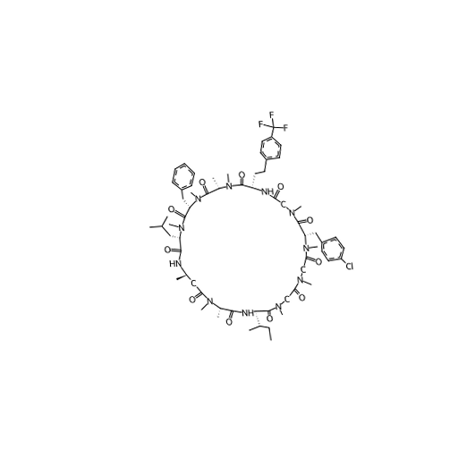 CCC(C)[C@@H]1NC(=O)[C@H](C)N(C)C(=O)C[C@@H](C)NC(=O)[C@H](CC(C)C)N(C)C(=O)[C@H](Cc2ccccc2)N(C)C(=O)[C@H](C)N(C)C(=O)[C@H](CCc2ccc(C(F)(F)F)cc2)NC(=O)CN(C)C(=O)[C@H](Cc2ccc(Cl)cc2)N(C)C(=O)CN(C)C(=O)CN(C)C1=O